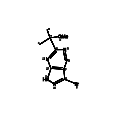 COC(C)(C)c1ncc2c(Br)n[nH]c2n1